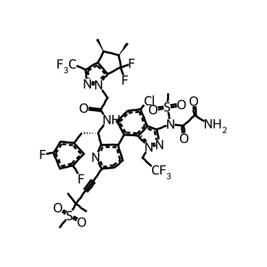 C[C@@H]1c2c(C(F)(F)F)nn(CC(=O)N[C@@H](Cc3cc(F)cc(F)c3)c3nc(C#CC(C)(C)S(C)(=O)=O)ccc3-c3ccc(Cl)c4c(N(C(=O)C(N)=O)S(C)(=O)=O)nn(CC(F)(F)F)c34)c2C(F)(F)[C@@H]1C